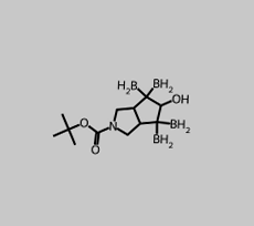 BC1(B)C2CN(C(=O)OC(C)(C)C)CC2C(B)(B)C1O